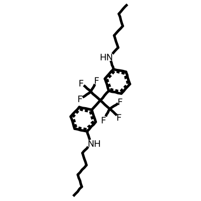 CCCCCNc1cccc(C(c2cccc(NCCCCC)c2)(C(F)(F)F)C(F)(F)F)c1